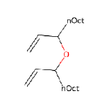 C=CC(CCCCCCCC)OC(C=C)CCCCCCCC